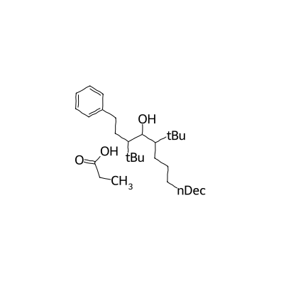 CCC(=O)O.CCCCCCCCCCCCCC(C(O)C(CCc1ccccc1)C(C)(C)C)C(C)(C)C